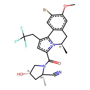 COc1cc2c(cc1Br)-c1c(CC(F)(F)F)cc(C(=O)N3C[C@@H](O)C[C@]3(C)C#N)n1[C@H](C)C2